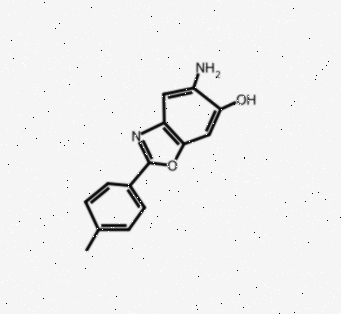 Cc1ccc(-c2nc3cc(N)c(O)cc3o2)cc1